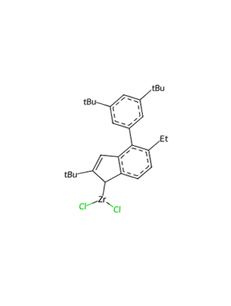 CCc1ccc2c(c1-c1cc(C(C)(C)C)cc(C(C)(C)C)c1)C=C(C(C)(C)C)[CH]2[Zr]([Cl])[Cl]